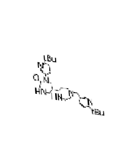 CC(C)(C)c1ccc(CN2CCNC(C3CNCC(=O)N(c4ccc(C(C)(C)C)nc4)C3)CC2)cn1